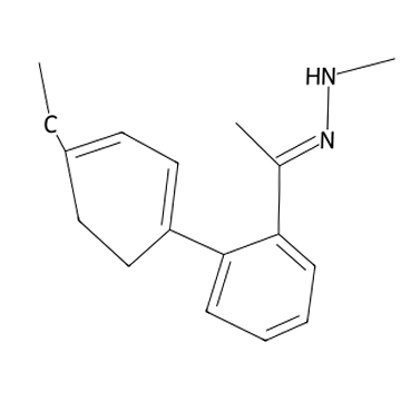 CCC1=CC=C(c2ccccc2/C(C)=N/NC)CC1